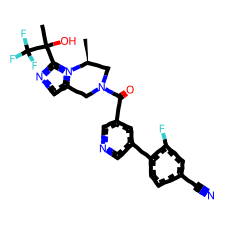 C[C@H]1CN(C(=O)c2cncc(-c3ccc(C#N)cc3F)c2)Cc2cnc(C(C)(O)C(F)(F)F)n21